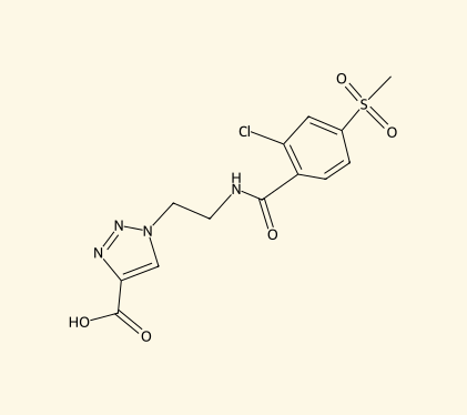 CS(=O)(=O)c1ccc(C(=O)NCCn2cc(C(=O)O)nn2)c(Cl)c1